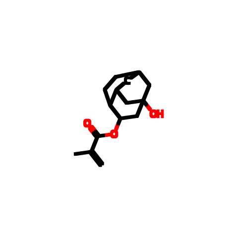 C=C(C)C(=O)OC1CC2(O)CC3CCC1C(C3)C2